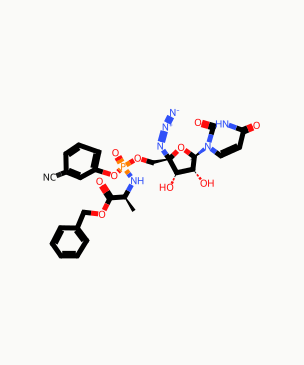 C[C@H](NP(=O)(OC[C@@]1(N=[N+]=[N-])O[C@@H](n2ccc(=O)[nH]c2=O)[C@H](O)[C@@H]1O)Oc1cccc(C#N)c1)C(=O)OCc1ccccc1